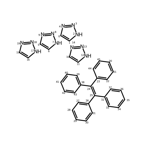 c1c[nH]nn1.c1c[nH]nn1.c1c[nH]nn1.c1c[nH]nn1.c1ccc(C(=C(c2ccccc2)c2ccccc2)c2ccccc2)cc1